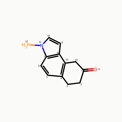 O=C1CCc2ccc3c(ccn3P)c2C1